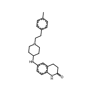 Cc1ccc(CCN2CCC(Nc3ccc4c(c3)CCC(=O)N4)CC2)cc1